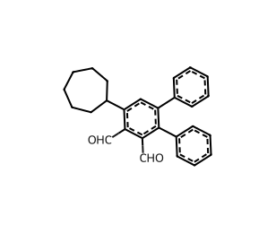 O=Cc1c(C2CCCCCC2)cc(-c2ccccc2)c(-c2ccccc2)c1C=O